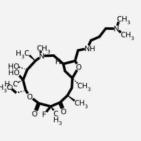 CC[C@H]1OC(=O)[C@@](C)(F)C(=O)[C@H](C)C[C@@]2(C)C[C@H](CN(C)[C@H](C)[C@@H](O)[C@]1(C)O)C(CNCCCN(C)C)O2